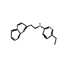 CCc1ccc(NCCc2ccc3ccccc3c2)cc1